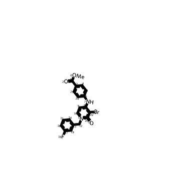 COC(=O)c1ccc(Nc2ccn(Cc3cccc(F)c3)c(=O)c2Br)cc1